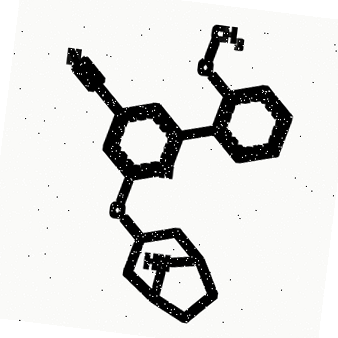 COc1ccccc1-c1cc(C#N)cc(OC2CC3CCC(C2)N3)n1